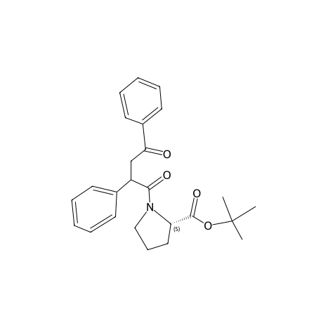 CC(C)(C)OC(=O)[C@@H]1CCCN1C(=O)C(CC(=O)c1ccccc1)c1ccccc1